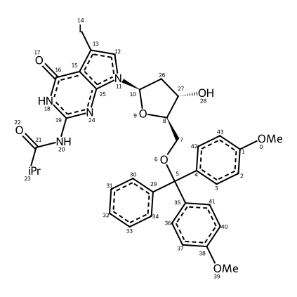 COc1ccc(C(OC[C@H]2O[C@@H](n3cc(I)c4c(=O)[nH]c(NC(=O)C(C)C)nc43)C[C@@H]2O)(c2ccccc2)c2ccc(OC)cc2)cc1